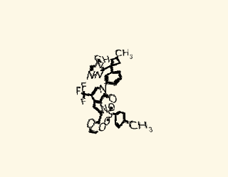 Cc1ccc(S(=O)(=O)n2c(C3OCCO3)cc3c(C(F)(F)F)cn(-c4cccc(C5(c6nncn6C)CC(C)C5)c4)c(=O)c32)cc1